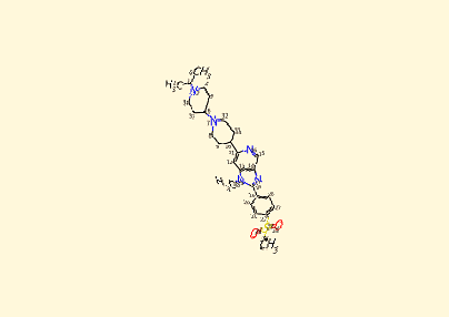 CC(C)N1CCC(N2CCC(c3cc4c(cn3)nc(-c3ccc(S(C)(=O)=O)cc3)n4C)CC2)CC1